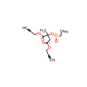 C#CCOC(=O)CC(C)(O[PH](=O)COC)C(=O)OCC#C